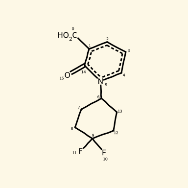 O=C(O)c1cccn(C2CCC(F)(F)CC2)c1=O